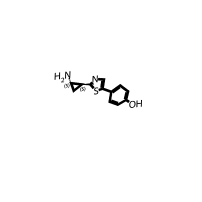 N[C@H]1C[C@@H]1c1ncc(-c2ccc(O)cc2)s1